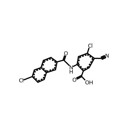 N#Cc1cc(C(=O)O)c(NC(=O)c2ccc3cc(Cl)ccc3c2)cc1Cl